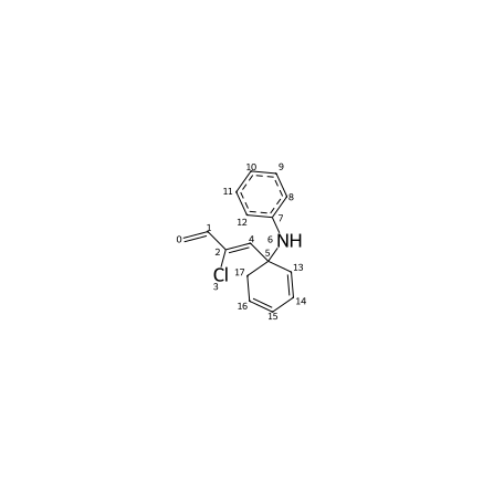 C=CC(Cl)=CC1(Nc2ccccc2)C=CC=CC1